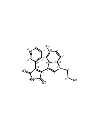 O=C1NC(=O)C(c2cn(CCF)c3ccc(F)cc23)=C1c1cccnc1